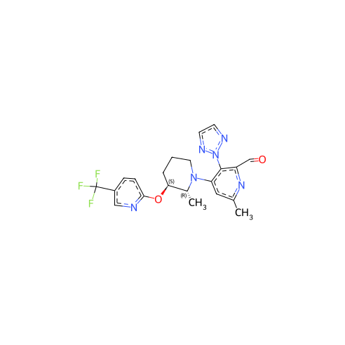 Cc1cc(N2CCC[C@H](Oc3ccc(C(F)(F)F)cn3)[C@H]2C)c(-n2nccn2)c(C=O)n1